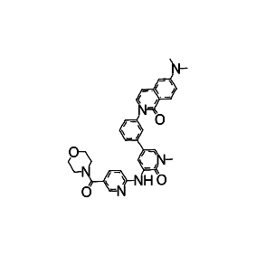 CN(C)c1ccc2c(=O)n(-c3cccc(-c4cc(Nc5ccc(C(=O)N6CCOCC6)cn5)c(=O)n(C)c4)c3)ccc2c1